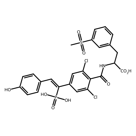 CS(=O)(=O)c1cccc(CC(NC(=O)c2c(Cl)cc(C(=Cc3ccc(O)cc3)P(=O)(O)O)cc2Cl)C(=O)O)c1